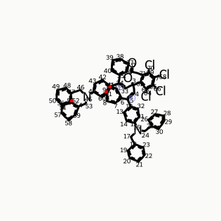 O=C1OC(/C=C(\c2ccccc2)c2ccc(N(Cc3ccccc3)Cc3ccccc3)cc2)(/C=C(\c2ccccc2)c2ccc(N(Cc3ccccc3)Cc3ccccc3)cc2)c2c(Cl)c(Cl)c(Cl)c(Cl)c21